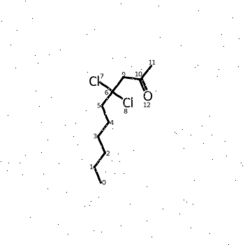 CCCCCCC(Cl)(Cl)CC(C)=O